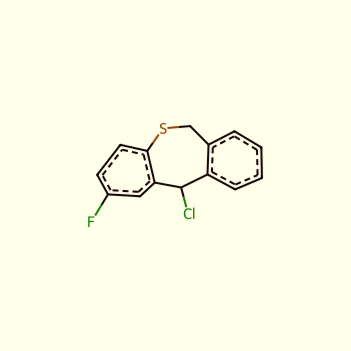 Fc1ccc2c(c1)C(Cl)c1ccccc1CS2